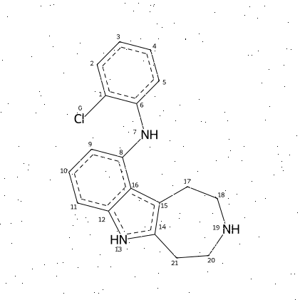 Clc1ccccc1Nc1cccc2[nH]c3c(c12)CCNCC3